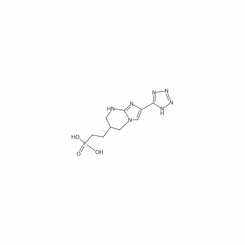 O=P(O)(O)CCC1CNc2nc(-c3nnn[nH]3)cn2C1